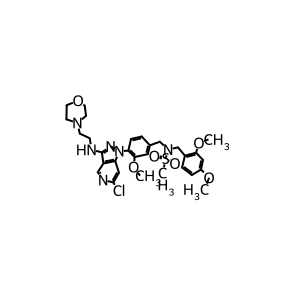 COc1ccc(CN(Cc2ccc(-n3nc(NCCN4CCOCC4)c4cnc(Cl)cc43)c(OC)c2)S(C)(=O)=O)c(OC)c1